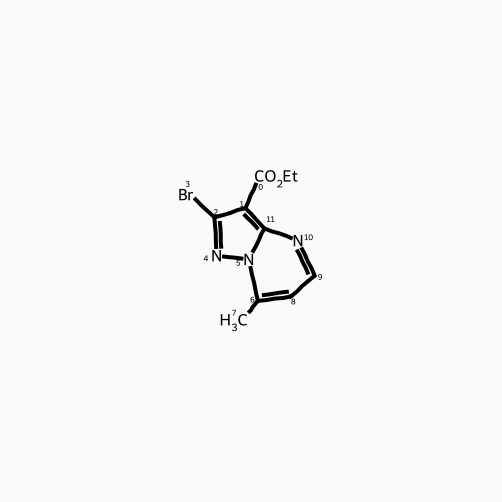 CCOC(=O)c1c(Br)nn2c(C)ccnc12